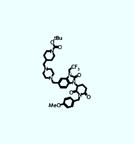 COc1ccc(CN2C(=O)CCC(n3c(=O)n(CC(F)(F)F)c4cc(CN5CCN(CC6CCN(C(=O)OC(C)(C)C)CC6)CC5)ccc43)C2=O)cc1